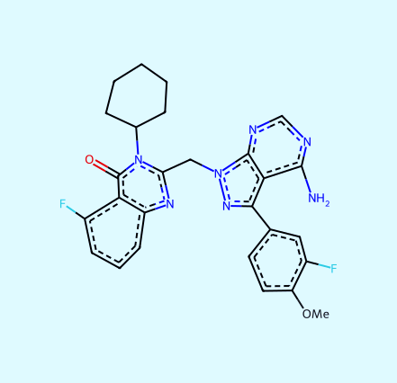 COc1ccc(-c2nn(Cc3nc4cccc(F)c4c(=O)n3C3CCCCC3)c3ncnc(N)c23)cc1F